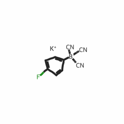 N#C[B-](C#N)(C#N)c1ccc(F)cc1.[K+]